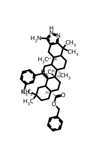 Cc1cccc(C2=C3C4CC(C)(C)CC[C@]4(C(=O)OCc4ccccc4)CC[C@@]3(C)[C@]3(C)CCC4C(C)(C)c5n[nH]c(N)c5C[C@]4(C)C3C2)c1